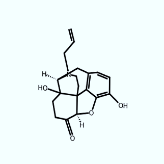 C=CCN1CCC23c4c5ccc(O)c4O[C@H]2C(=O)CCC3(O)[C@H]1C5